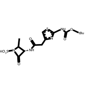 CC1[C@H](NC(=O)Cc2csc(NC(=O)OC(C)(C)C)n2)C(=O)N1S(=O)(=O)O